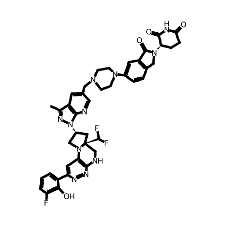 Cc1nn([C@H]2CN3c4cc(-c5cccc(F)c5O)nnc4NC[C@@]3(C(F)F)C2)c2ncc(CN3CCN(c4ccc5c(c4)C(=O)N([C@H]4CCC(=O)NC4=O)C5)CC3)cc12